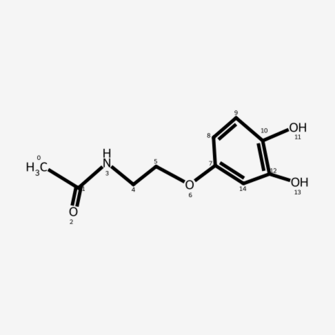 CC(=O)NCCOc1ccc(O)c(O)c1